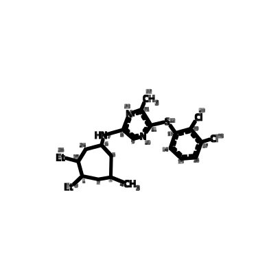 CCC1CC(C)CC(Nc2cnc(Sc3cccc(Cl)c3Cl)c(C)n2)CC1CC